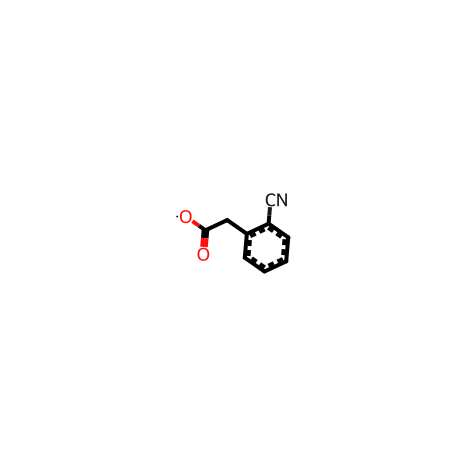 N#Cc1ccccc1CC([O])=O